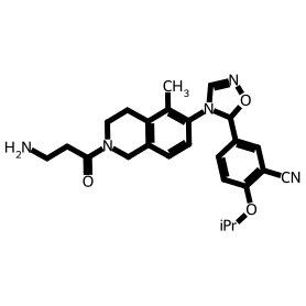 Cc1c(N2C=NOC2c2ccc(OC(C)C)c(C#N)c2)ccc2c1CCN(C(=O)CCN)C2